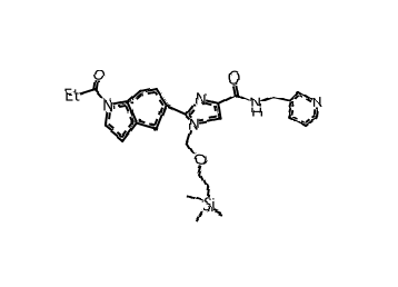 CCC(=O)n1ccc2cc(-c3nc(C(=O)NCc4cccnc4)cn3COCC[Si](C)(C)C)ccc21